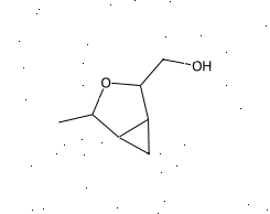 CC1OC(CO)C2CC12